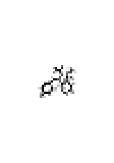 CC(=O)C(CCc1ccc(F)cc1)C(C)(O)N1CCCCC1